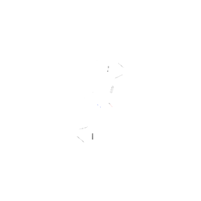 O=C(C#Cc1cccc(Cl)c1)N(CCc1ccccc1)C1CC1